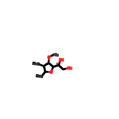 CCCCOC1C(OC)C(OC)OC1[C@@H](O)CO